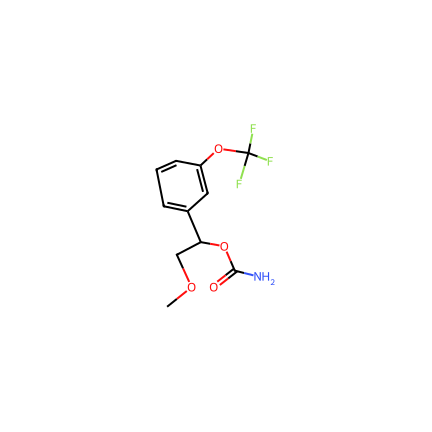 COCC(OC(N)=O)c1cccc(OC(F)(F)F)c1